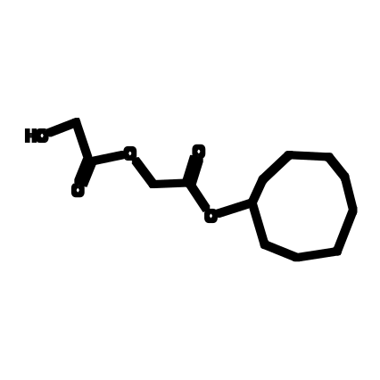 O=C(CO)OCC(=O)OC1CCCCCCCC1